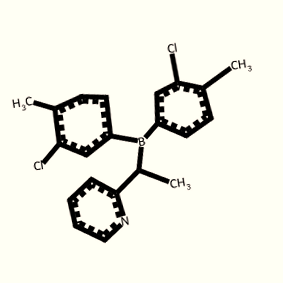 Cc1ccc(B(c2ccc(C)c(Cl)c2)C(C)c2ccccn2)cc1Cl